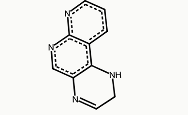 C1=Nc2cnc3ncccc3c2NC1